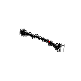 O=C(CCOCCOCCC(=O)Oc1c(F)c(F)c(F)c(F)c1F)NCCOCCOCCOCCn1cc(CCOC[C@H]2O[C@@H](O)C[C@@H](O)[C@H]2O)nn1